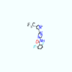 Cn1cc(C(F)(F)F)cc1-c1cnc(NC(=O)c2c(F)cccc2F)cn1